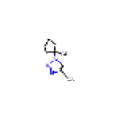 CC(=O)C1(n2cc(C(C)(C)C)nn2)CCCC1